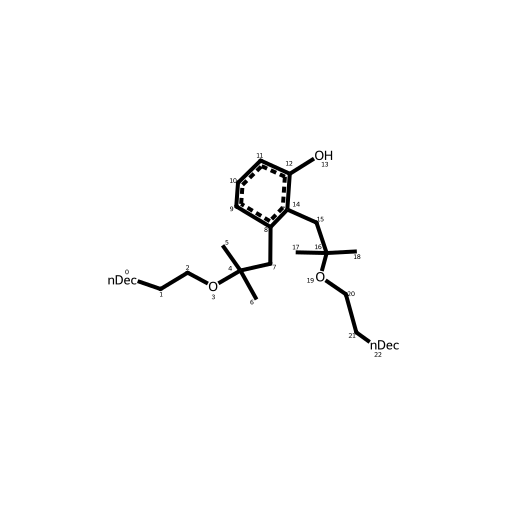 CCCCCCCCCCCCOC(C)(C)Cc1cccc(O)c1CC(C)(C)OCCCCCCCCCCCC